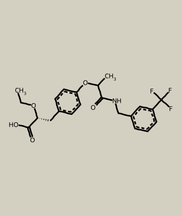 CCO[C@H](Cc1ccc(OC(C)C(=O)NCc2cccc(C(F)(F)F)c2)cc1)C(=O)O